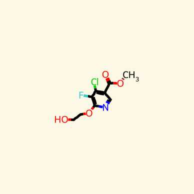 COC(=O)c1cnc(OCCO)c(F)c1Cl